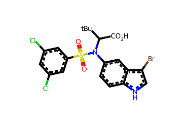 CC(C)(C)C(C(=O)O)N(c1ccc2[nH]cc(Br)c2c1)S(=O)(=O)c1cc(Cl)cc(Cl)c1